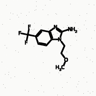 COCCn1c(N)nc2cc(C(F)(F)F)ccc21